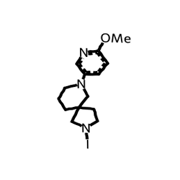 COc1ccc(N2CCCC3(CCN(I)C3)C2)cn1